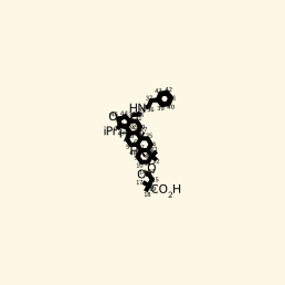 CC(C)C1=C2[C@H]3CC[C@@H]4[C@@]5(C)CC[C@H](OC(=O)CC(C)(C)C(=O)O)C(C)(C)C5CC[C@@]4(C)[C@]3(C)CC[C@@]2(CCNCCc2ccccc2)CC1=O